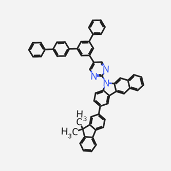 CC1(C)c2ccccc2-c2ccc(-c3ccc4c(c3)c3cc5ccccc5cc3n4-c3ncc(-c4cc(-c5ccccc5)cc(-c5ccc(-c6ccccc6)cc5)c4)cn3)cc21